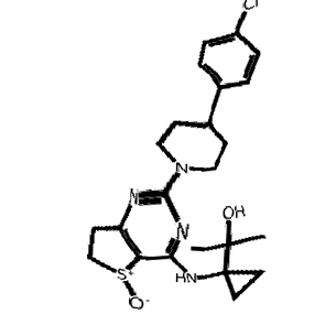 CC(C)(O)C1(Nc2nc(N3CCC(c4ccc(Cl)cc4)CC3)nc3c2[S+]([O-])CC3)CC1